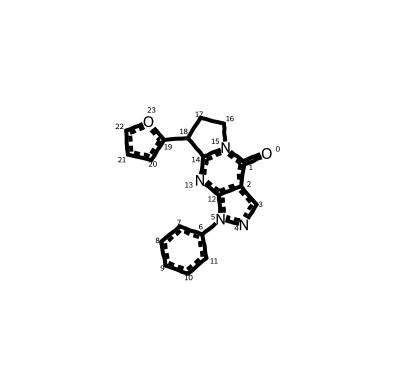 O=c1c2cnn(-c3ccccc3)c2nc2n1CCC2c1ccco1